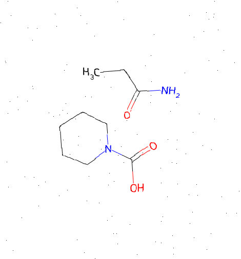 CCC(N)=O.O=C(O)N1CCCCC1